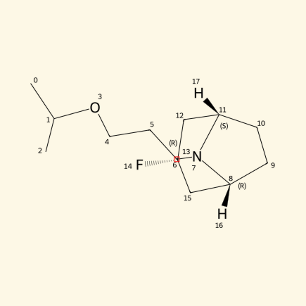 CC(C)OCCCN1[C@@H]2CC[C@H]1C[C@@H](F)C2